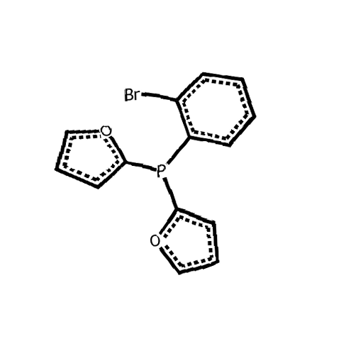 Brc1ccccc1P(c1ccco1)c1ccco1